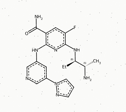 CC[C@@H](Nc1nc(Nc2cncc(-n3cccn3)c2)c(C(N)=O)cc1F)[C@H](C)N